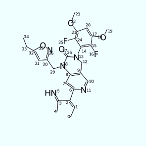 C/C=C(\C(C)=N)c1cc2c(cn1)CN(c1c(F)c(OC)cc(OC)c1F)C(=O)N2Cc1cc(CC)on1